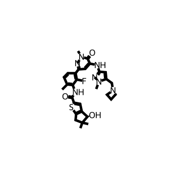 Cc1ccc(-c2cc(Nc3cc(CN4CCC4)n(C)n3)c(=O)n(C)n2)c(F)c1NC(=O)c1cc2c(s1)CC(C)(C)[C@H]2O